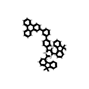 CC1(C)c2ccccc2-c2c(-c3nc(-c4cccc5c4-c4ccccc4C5(C)C)c4oc5cc(-c6cccc(-c7ccc8c9ccccc9c9ccccc9c8c7)c6)ccc5c4n3)cccc21